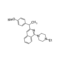 CCN1CCN(c2nc(C(C)c3ccc(OC)cc3)cc3ccccc23)CC1